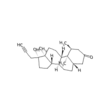 C#CC[C@]1(O)CC[C@H]2[C@@H]3CC[C@H]4CC(=O)C[C@H](C)[C@]4(C)[C@H]3CC[C@@]21C